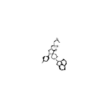 CN(C)C[C@@H](O)CN1CN(c2ccc(F)cc2)C2(CCN(C3Cc4cccc5cccc3c45)CC2)C1=O